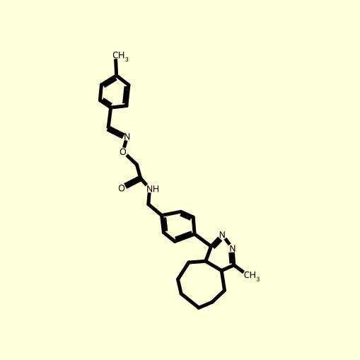 CC1=NN=C(c2ccc(CNC(=O)CO/N=C/c3ccc(C)cc3)cc2)C2CCCCCCC12